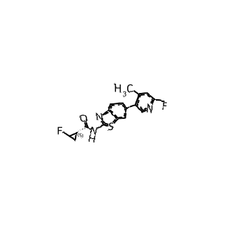 Cc1cc(CF)ncc1-c1ccc2nc(NC(=O)[C@@H]3CC3F)sc2c1